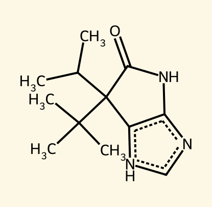 CC(C)C1(C(C)(C)C)C(=O)Nc2nc[nH]c21